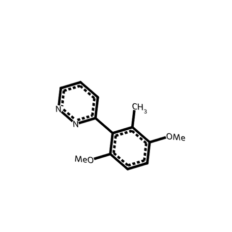 COc1ccc(OC)c(-c2cccnn2)c1C